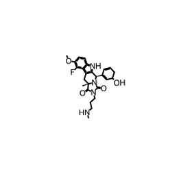 CNCCCN1C(=O)N2[C@H](C3=CC(O)CC=C3)c3[nH]c4ccc(OC)c(F)c4c3C[C@@]2(C)C1=O